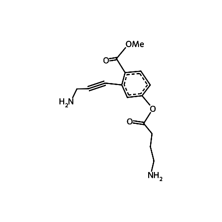 COC(=O)c1ccc(OC(=O)CCCN)cc1C#CCN